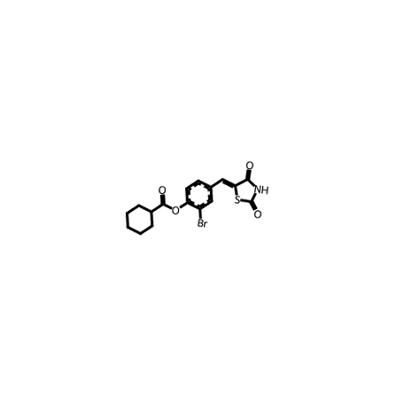 O=C1NC(=O)C(=Cc2ccc(OC(=O)C3CCCCC3)c(Br)c2)S1